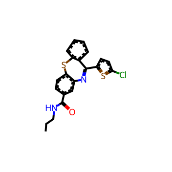 CCCNC(=O)c1ccc2c(c1)N=C(c1ccc(Cl)s1)c1ccccc1S2